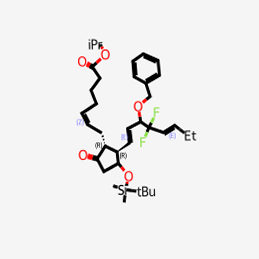 CC/C=C/C(F)(F)C(/C=C/[C@H]1C(O[Si](C)(C)C(C)(C)C)CC(=O)[C@@H]1C/C=C\CCCC(=O)OC(C)C)OCc1ccccc1